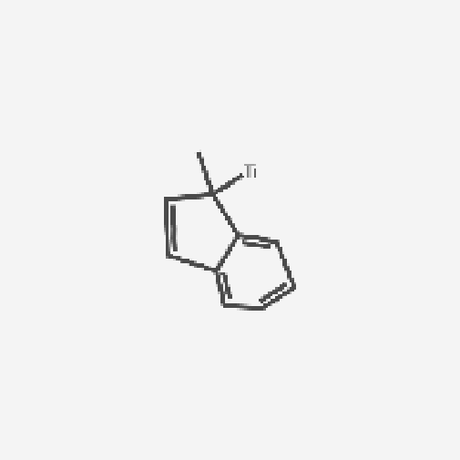 C[C]1([Ti])C=Cc2ccccc21